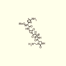 CON=C(C(=O)N[C@H]1CN(C(=O)NS(=O)(=O)NC(=O)C2CNC(=O)N2CCN)C1=O)c1csc(N)n1